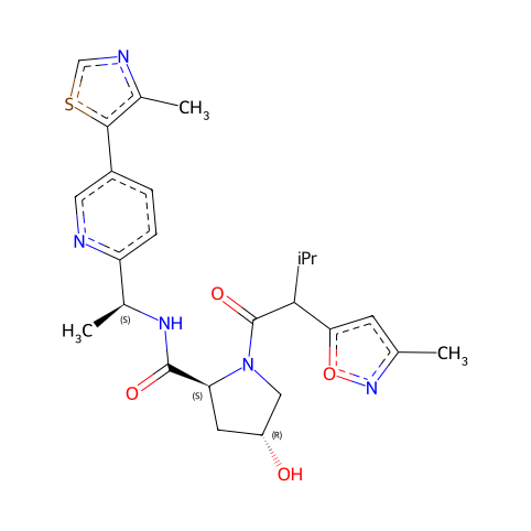 Cc1cc(C(C(=O)N2C[C@H](O)C[C@H]2C(=O)N[C@@H](C)c2ccc(-c3scnc3C)cn2)C(C)C)on1